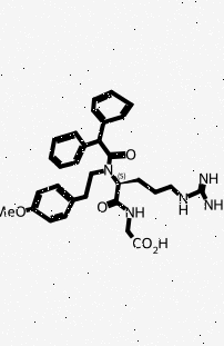 COc1ccc(CCN(C(=O)C(c2ccccc2)c2ccccc2)[C@@H](CCCNC(=N)N)C(=O)NCC(=O)O)cc1